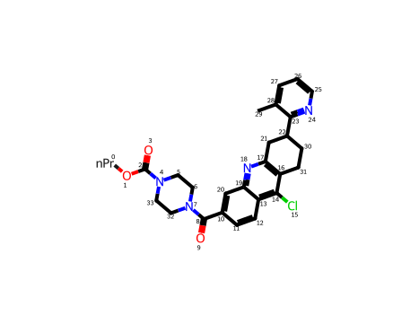 CCCOC(=O)N1CCN(C(=O)c2ccc3c(Cl)c4c(nc3c2)CC(c2ncccc2C)CC4)CC1